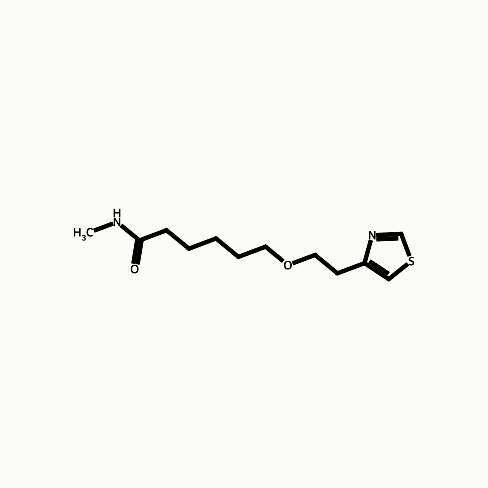 CNC(=O)CCCCCOCCc1cscn1